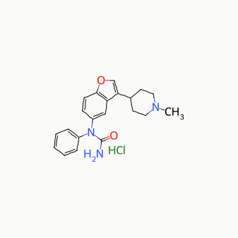 CN1CCC(c2coc3ccc(N(C(N)=O)c4ccccc4)cc23)CC1.Cl